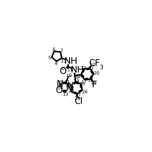 O=C(NC1CCCC1)N[C@@](Cc1ncon1)(c1cc(F)cc(C(F)(F)F)c1)c1ccc(Cl)cn1